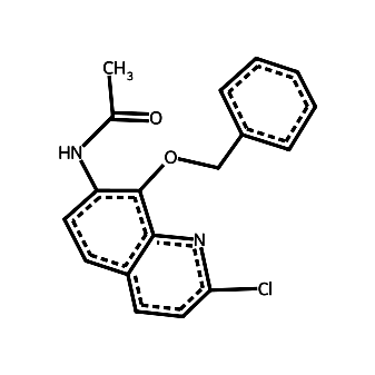 CC(=O)Nc1ccc2ccc(Cl)nc2c1OCc1ccccc1